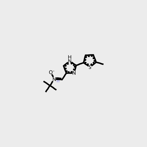 Cc1ccc(-c2nc(/C=[N+](\[O-])C(C)(C)C)c[nH]2)s1